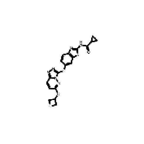 O=C(Nc1nc2ccc(Sc3nnc4ccc(OC5COC5)nn34)cc2s1)C1CC1